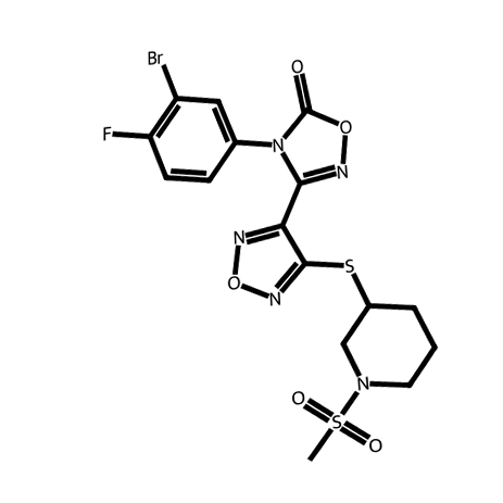 CS(=O)(=O)N1CCCC(Sc2nonc2-c2noc(=O)n2-c2ccc(F)c(Br)c2)C1